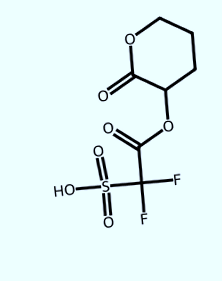 O=C1OCCCC1OC(=O)C(F)(F)S(=O)(=O)O